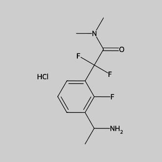 CC(N)c1cccc(C(F)(F)C(=O)N(C)C)c1F.Cl